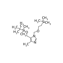 Cc1ncn(COCC[Si](C)(C)C)c1CO[Si](C)(C)C(C)(C)C